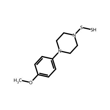 COc1ccc(N2CCN(SS)CC2)cc1